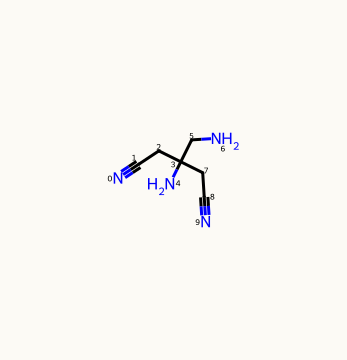 N#CCC(N)(CN)CC#N